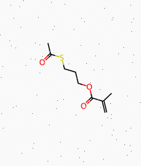 C=C(C)C(=O)OCCCSC(C)=O